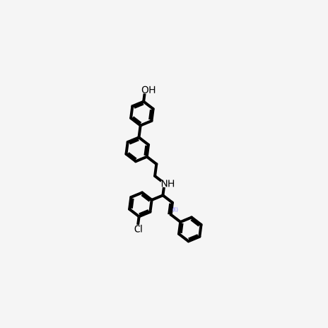 Oc1ccc(-c2cccc(CCNC(/C=C/c3ccccc3)c3cccc(Cl)c3)c2)cc1